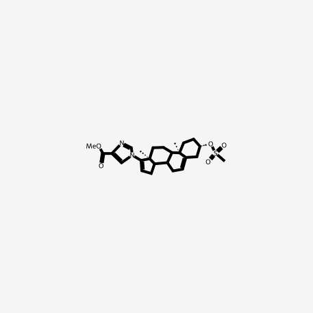 COC(=O)c1cn(C2=CCC3C4CC=C5C[C@@H](OS(C)(=O)=O)CC[C@]5(C)C4CC[C@]23C)cn1